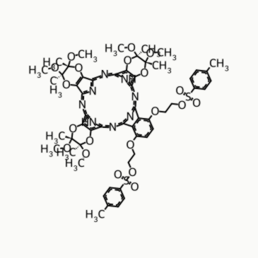 CO[C@]1(C)OC2=C(O[C@@]1(C)OC)c1nc2nc2[nH]c(nc3nc(nc4[nH]c(n1)c1c4O[C@@](C)(OC)[C@](C)(OC)O1)-c1c(OCCOS(=O)(=O)c4ccc(C)cc4)ccc(OCCOS(=O)(=O)c4ccc(C)cc4)c1-3)c1c2O[C@@](C)(OC)[C@](C)(OC)O1